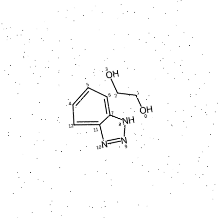 OCCO.c1ccc2[nH]nnc2c1